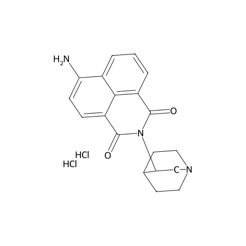 Cl.Cl.Nc1ccc2c3c(cccc13)C(=O)N(C1CN3CCC1CC3)C2=O